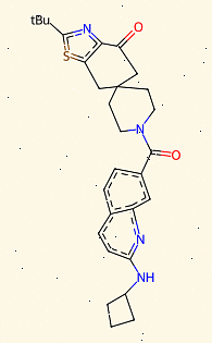 CC(C)(C)c1nc2c(s1)CC1(CCN(C(=O)c3ccc4ccc(NC5CCC5)nc4c3)CC1)CC2=O